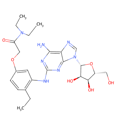 CCc1ccc(OCC(=O)N(CC)CC)cc1Nc1nc(N)c2ncn([C@@H]3O[C@H](CO)[C@@H](O)[C@H]3O)c2n1